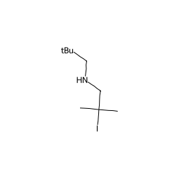 CC(C)(C)CNCC(C)(C)I